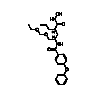 C=CC[C@H](C[C@H](COCOCC)NC(=O)c1ccc(Oc2ccccc2)cc1)C(=O)NO